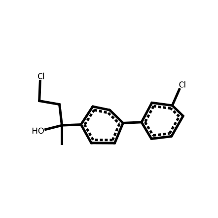 CC(O)(CCCl)c1ccc(-c2cccc(Cl)c2)cc1